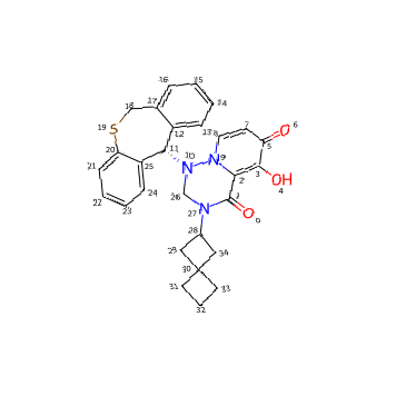 O=C1c2c(O)c(=O)ccn2N([C@H]2c3ccccc3CSc3ccccc32)CN1C1CC2(CCC2)C1